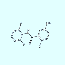 Cc1ccc(Cl)c(C(=O)Nc2c(F)cccc2F)c1